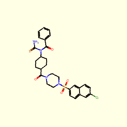 NC(=S)N(C(=O)c1ccccc1)C1CCC(C(=O)N2CCN(S(=O)(=O)c3ccc4cc(Cl)ccc4c3)CC2)CC1